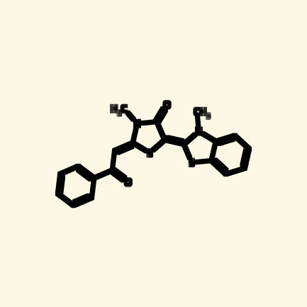 CN1/C(=c2/s/c(=C\C(=O)c3ccccc3)n(C)c2=O)Sc2ccccc21